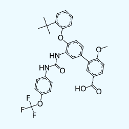 COc1ccc(C(=O)O)cc1-c1ccc(Oc2ccccc2C(C)(C)C)c(NC(=O)Nc2ccc(OC(F)(F)F)cc2)c1